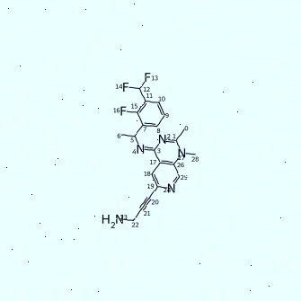 Cc1nc(=NC(C)c2cccc(C(F)F)c2F)c2cc(C#CCN)ncc2n1C